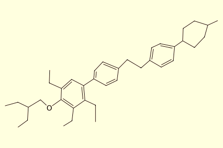 CCc1cc(-c2ccc(CCc3ccc(C4CCC(C)CC4)cc3)cc2)c(CC)c(CC)c1OCC(CC)CC